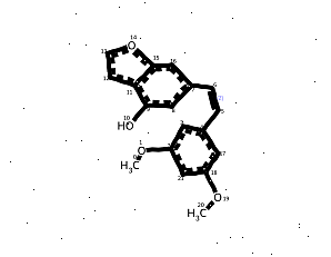 COc1cc(/C=C\c2cc(O)c3ccoc3c2)cc(OC)c1